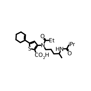 CCC(=O)N(CCCC(C)NC(=O)C(C)C)c1cc(C2=CCCCC2)sc1C(=O)O